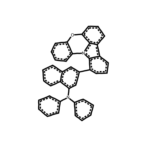 c1ccc(N(c2ccccc2)c2cc(-c3cccc4c5cccc6c5n(c34)-c3ccccc3O6)cc3ccccc23)cc1